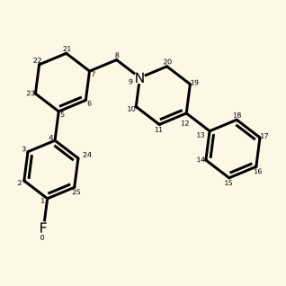 Fc1ccc(C2=CC(CN3CC=C(c4ccccc4)CC3)CCC2)cc1